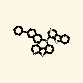 c1ccc(-c2ccc3cc(N(c4cncc5c4oc4ccccc45)c4cccc5oc6ncccc6c45)ccc3c2)cc1